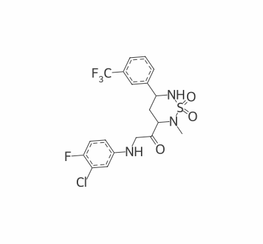 CN1C(C(=O)CNc2ccc(F)c(Cl)c2)CC(c2cccc(C(F)(F)F)c2)NS1(=O)=O